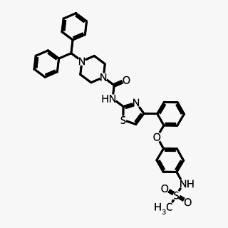 CS(=O)(=O)Nc1ccc(Oc2ccccc2-c2csc(NC(=O)N3CCN(C(c4ccccc4)c4ccccc4)CC3)n2)cc1